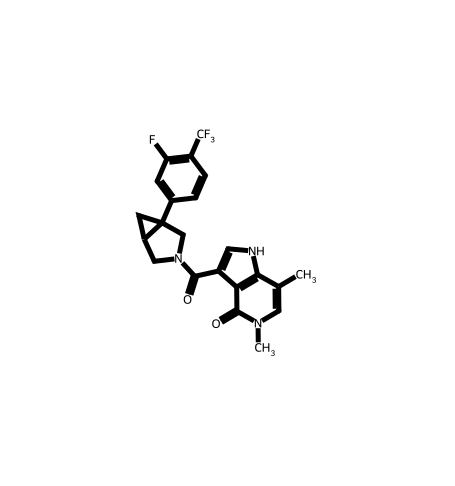 Cc1cn(C)c(=O)c2c(C(=O)N3CC4CC4(c4ccc(C(F)(F)F)c(F)c4)C3)c[nH]c12